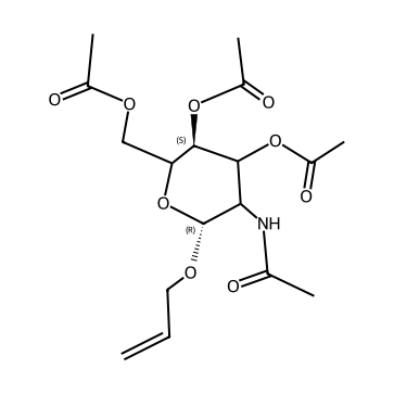 C=CCO[C@@H]1OC(COC(C)=O)[C@@H](OC(C)=O)C(OC(C)=O)C1NC(C)=O